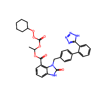 CC(OC(=O)OOC1CCCCC1)OC(=O)c1cccc2[nH]c(=O)n(Cc3ccc(-c4ccccc4-c4nnn[nH]4)cc3)c12